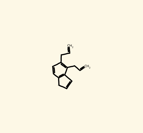 C=CCc1ccc2c(c1CC=C)C=C[CH]2